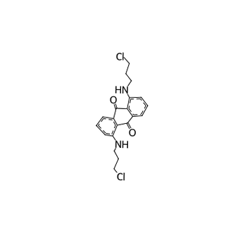 O=C1c2cccc(NCCCCl)c2C(=O)c2cccc(NCCCCl)c21